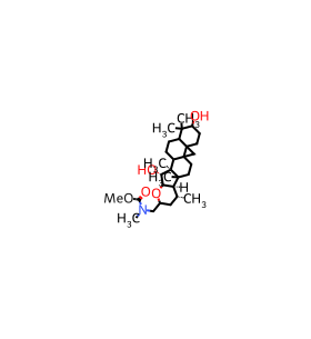 COC(=O)N(C)CC1C[C@@H](C)[C@H]2C(O1)[C@H](O)[C@@]1(C)C3CCC4C(C)(C)C(O)CCC45CC35CCC21C